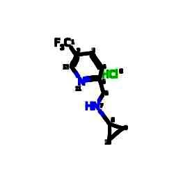 Cl.FC(F)(F)c1ccc(CNC2CC2)nc1